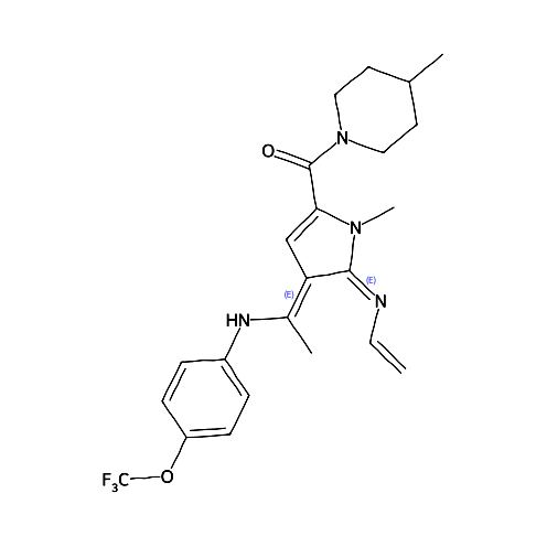 C=C/N=C1\C(=C(/C)Nc2ccc(OC(F)(F)F)cc2)C=C(C(=O)N2CCC(C)CC2)N1C